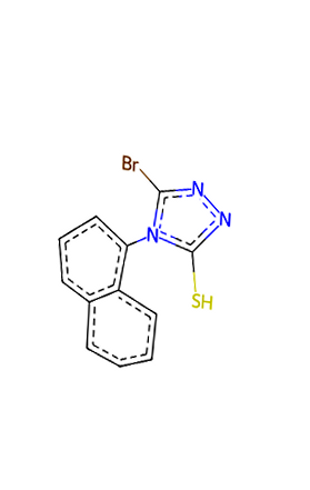 Sc1nnc(Br)n1-c1cccc2ccccc12